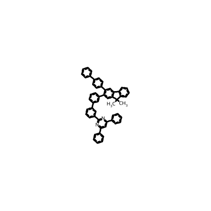 CC1(C)c2ccccc2-c2cc(-c3ccc(-c4ccccc4)cc3)c(-c3cccc(-c4cccc(-c5nc(-c6ccccc6)cc(-c6ccccc6)n5)c4)c3)cc21